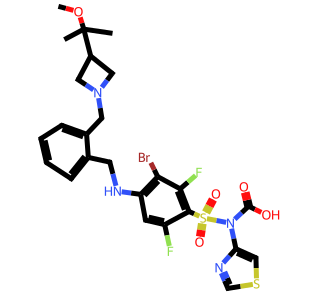 COC(C)(C)C1CN(Cc2ccccc2CNc2cc(F)c(S(=O)(=O)N(C(=O)O)c3cscn3)c(F)c2Br)C1